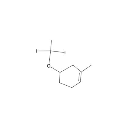 CC1=CCCC(OC(C)(I)I)C1